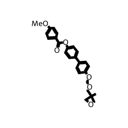 COc1ccc(C(=O)Oc2ccc(-c3ccc(OCOCC4(C)COC4)cc3)cc2)cc1